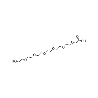 O=C(O)COCCOCCOCCOCCOCCOCCO